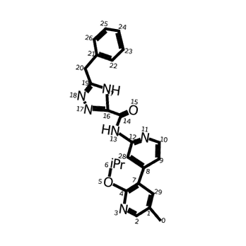 Cc1cnc(OC(C)C)c(-c2ccnc(NC(=O)c3nnc(Cc4ccccc4)[nH]3)c2)c1